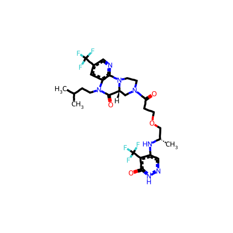 CC(C)CCN1C(=O)[C@H]2CN(C(=O)CCOC[C@H](C)Nc3cn[nH]c(=O)c3C(F)(F)F)CCN2c2ncc(C(F)(F)F)cc21